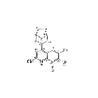 Fc1cc2c(C3CC4CCC(C4)C3)nc(Cl)nc2c(F)c1Br